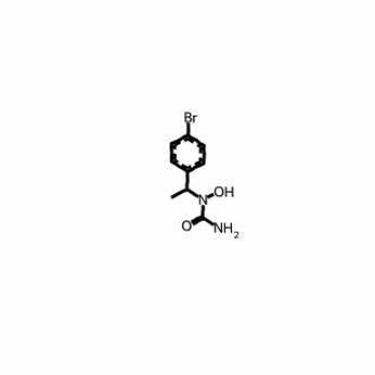 CC(c1ccc(Br)cc1)N(O)C(N)=O